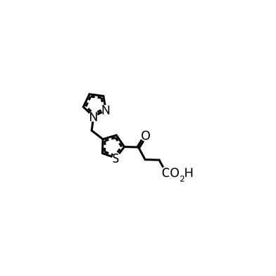 O=C(O)CCC(=O)c1cc(Cn2cccn2)cs1